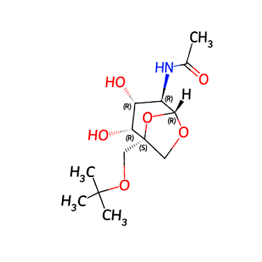 CC(=O)N[C@H]1[C@@H]2OC[C@](COC(C)(C)C)(O2)[C@H](O)[C@@H]1O